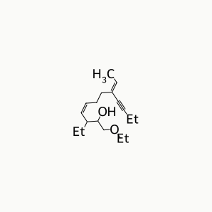 C/C=C(/C#CCC)CC/C=C\C(CC)C(O)COCC